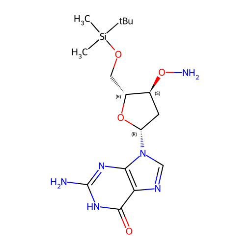 CC(C)(C)[Si](C)(C)OC[C@H]1O[C@@H](n2cnc3c(=O)[nH]c(N)nc32)C[C@@H]1ON